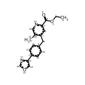 CCOC(=O)c1cc(Cc2ccc(-c3cocn3)cc2)c(C)cn1